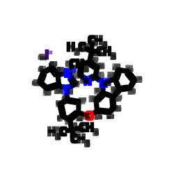 C[n+]1cn(-c2ccc(C(C)(C)C)c(Oc3ccc4c5ccccc5n(-c5cc(C(C)(C)C)ccn5)c4c3)c2)c2ccccc21.[I-]